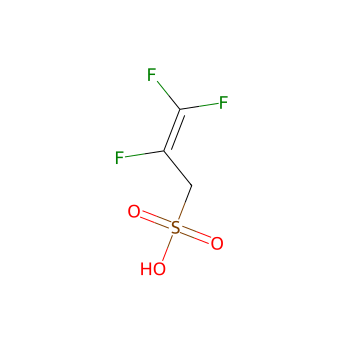 O=S(=O)(O)CC(F)=C(F)F